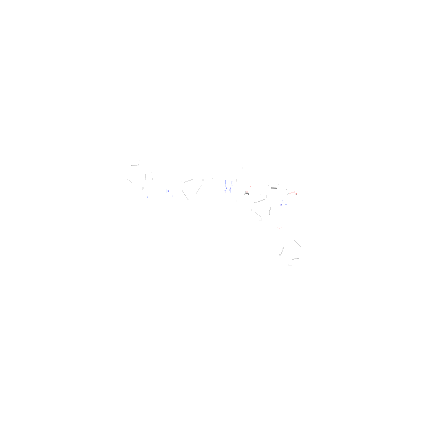 CC(C)(C)[Si](C)(C)O[C@@H](CNCCc1ccc(NC[C@H](N)c2ccccc2)cc1)c1ccc(OCc2ccccc2)c2[nH]c(=O)ccc12